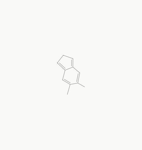 Cc1cc2c(cc1C)=CCC=2